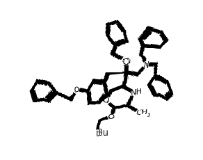 CC1NC([C@@](Cc2cccc(OCc3ccccc3)c2)(CN(Cc2ccccc2)Cc2ccccc2)OCc2ccccc2)COC1OCC(C)(C)C